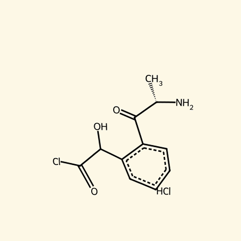 C[C@H](N)C(=O)c1ccccc1C(O)C(=O)Cl.Cl